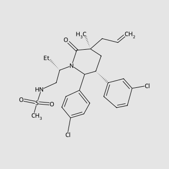 C=CC[C@@]1(C)C[C@H](c2cccc(Cl)c2)C(c2ccc(Cl)cc2)N([C@@H](CC)CNS(C)(=O)=O)C1=O